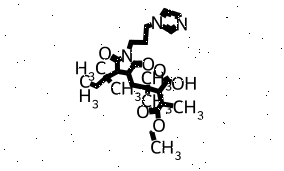 CCOC(=O)C(C)C(C(=O)O)C(C)(C)CC1C(=O)N(CCCn2ccnc2)C(=O)C1C(C)(C)CC